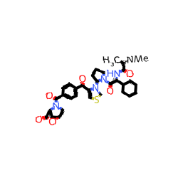 CN[C@@H](C)C(=O)N[C@H](C(=O)N1CCCC1N1CSC=C1C(=O)c1ccc(C(=O)N2CC3CC2C(=O)O3)cc1)C1CCCCC1